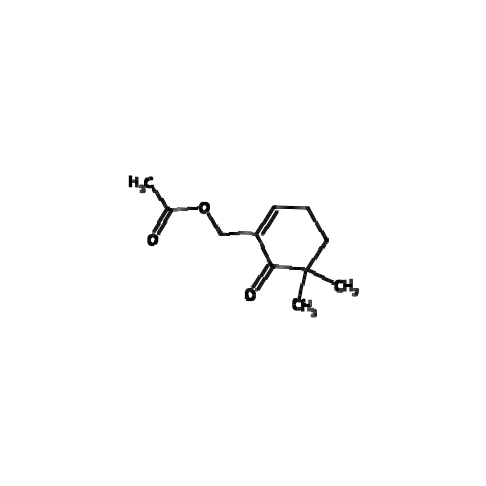 CC(=O)OCC1=CCCC(C)(C)C1=O